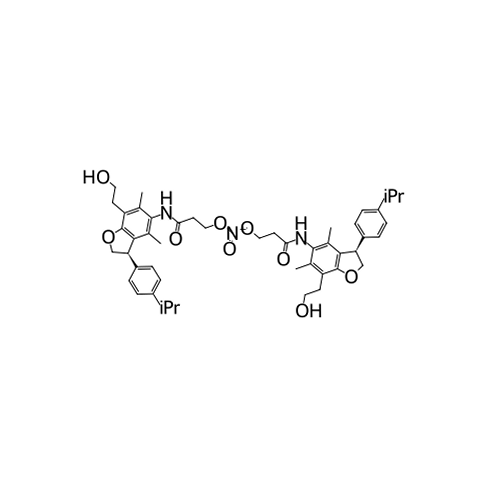 Cc1c(CCO)c2c(c(C)c1NC(=O)CCO[N+](=O)OCCC(=O)Nc1c(C)c(CCO)c3c(c1C)[C@@H](c1ccc(C(C)C)cc1)CO3)[C@@H](c1ccc(C(C)C)cc1)CO2